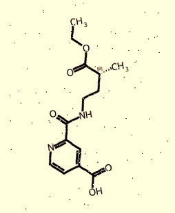 CCOC(=O)[C@H](C)CCNC(=O)c1cc(C(=O)O)ccn1